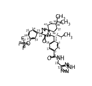 CCC[C@H](c1ccc(C(=O)NCc2nn[nH]n2)cc1)N1C(=O)C(c2cccc(OC(F)(F)F)c2)=NC12CCC(C(C)C)CC2